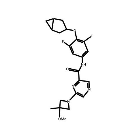 COC1(C)CN(c2cncc(C(=O)Nc3cc(F)c(OC4CC5CC5C4)c(F)c3)n2)C1